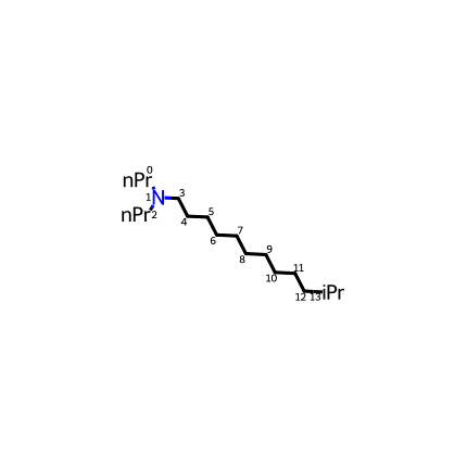 CCCN(CCC)CCCCCCCCCCC(C)C